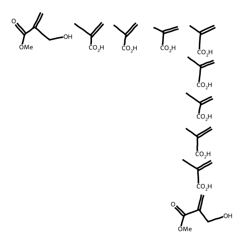 C=C(C)C(=O)O.C=C(C)C(=O)O.C=C(C)C(=O)O.C=C(C)C(=O)O.C=C(C)C(=O)O.C=C(C)C(=O)O.C=C(C)C(=O)O.C=C(C)C(=O)O.C=C(CO)C(=O)OC.C=C(CO)C(=O)OC